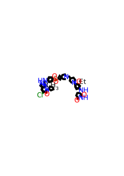 CCOc1cc(NC2CCC(=O)NC2=O)ccc1N1CCC(CN2CCC3(CC2)CC(S(=O)(=O)c2ccc(Nc4ncc5cc(Cl)c(=O)n(C6CCCC6)c5n4)c(C)c2)C3)CC1